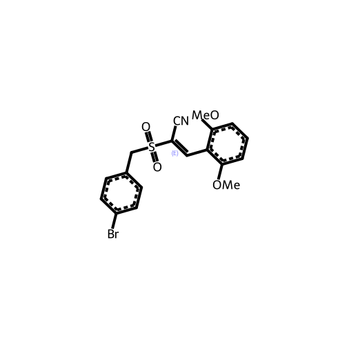 COc1cccc(OC)c1/C=C(\C#N)S(=O)(=O)Cc1ccc(Br)cc1